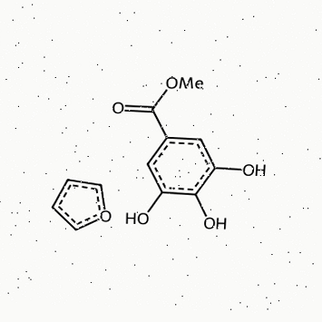 COC(=O)c1cc(O)c(O)c(O)c1.c1ccoc1